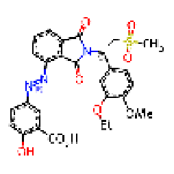 CCOc1cc([C@@H](CS(C)(=O)=O)N2C(=O)c3cccc(/N=N/c4ccc(O)c(C(=O)O)c4)c3C2=O)ccc1OC